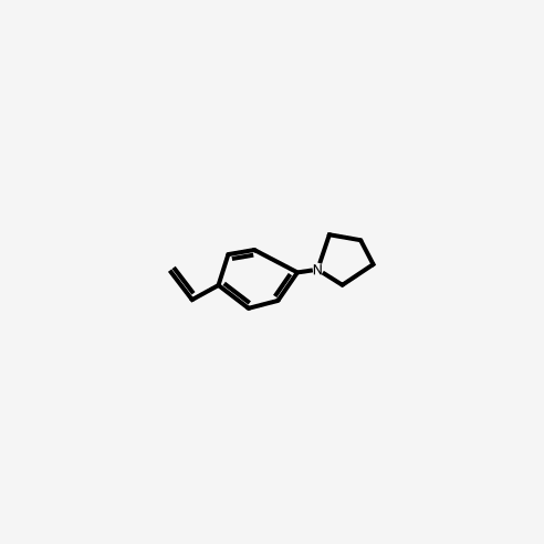 C=Cc1ccc(N2CCCC2)cc1